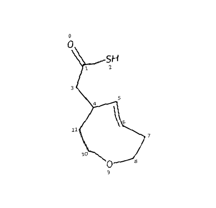 O=C(S)CC1/C=C/CCOCC1